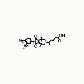 CC(CCCC(=O)O)N1CC2(C)OC(C)(C1)C1C(=O)N(c3ccc(C#N)c(C(F)(F)F)c3)C(=O)C12